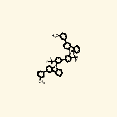 Cc1cccc(-c2ccc3c(c2)c2ccccc2n3-c2cc(-c3ccc(C(F)(F)F)c(-n4c5ccccc5c5cc(-c6cccc(C)c6)ccc54)c3)ccc2C(F)(F)F)c1